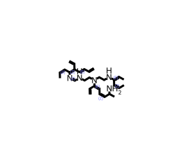 C=C/C=C/C(C=C)=C(/C=C\C)\N=C/NCCN(CCNC(/C=C\C)=C/C)/C(C=C)=C/C=C\C(C)N